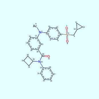 CC(=O)N(c1ccc(S(=O)(=O)CC2CC2)cc1)c1cccc(C(=O)N(c2ccccc2)C2CCC2)c1